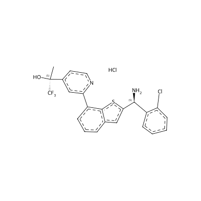 C[C@](O)(c1ccnc(-c2cccc3cc([C@@H](N)c4ccccc4Cl)sc23)c1)C(F)(F)F.Cl